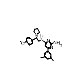 COc1ccc(C(CNc2cc(-c3cc(C)cc(C)c3)nc(N)n2)N2CCCC2)cc1